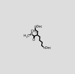 CCCCCCCCCCCCCCC(CCCCCCCCCCCC)C(=O)N(C)C